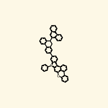 c1ccc(-n2c3cc(-c4ccc5c(c4)CC(c4cc6ccccc6c6ccccc46)c4ccccc4-5)ccc3c3c4cccc5c4c(cc32)Oc2ccccc2-5)cc1